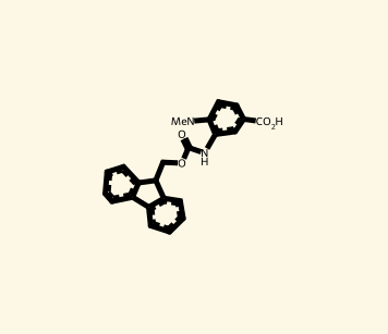 CNc1ccc(C(=O)O)cc1NC(=O)OCC1c2ccccc2-c2ccccc21